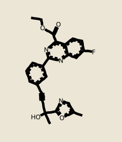 CCOC(=O)c1nc(-c2cccc(C#CC(C)(O)c3ncc(C)o3)c2)nc2cc(F)ccc12